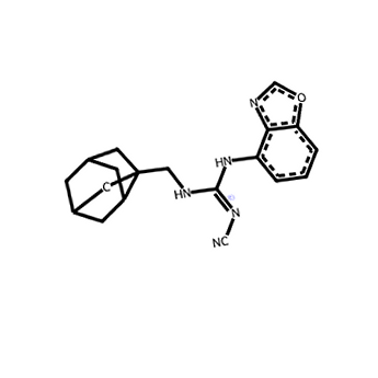 N#C/N=C(\NCC12CC3CC(CC1C3)C2)Nc1cccc2ocnc12